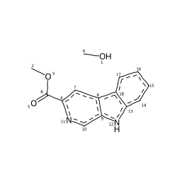 CO.COC(=O)c1cc2c(cn1)[nH]c1ccccc12